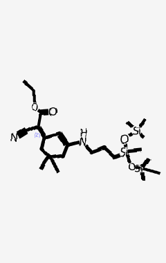 CCOC(=O)/C(C#N)=C1\C=C(NCCC[Si](C)(O[Si](C)(C)C)O[Si](C)(C)C)CC(C)(C)C1